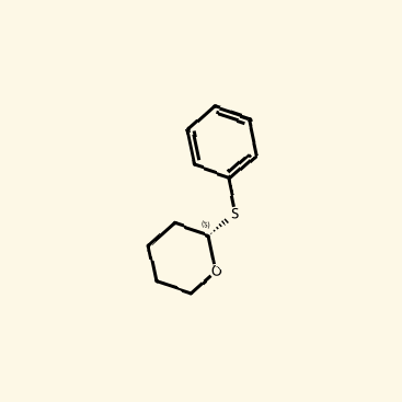 c1ccc(S[C@H]2CCCCO2)cc1